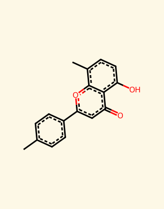 Cc1ccc(-c2cc(=O)c3c(O)ccc(C)c3o2)cc1